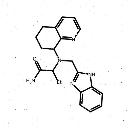 CCC(C(N)=O)N(Cc1nc2ccccc2[nH]1)C1CCCc2cccnc21